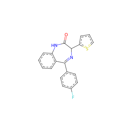 O=C1Nc2ccccc2C(c2ccc(F)cc2)=NC1c1cccs1